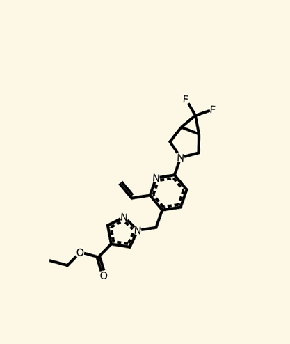 C=Cc1nc(N2CC3C(C2)C3(F)F)ccc1Cn1cc(C(=O)OCC)cn1